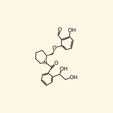 O=Cc1c(O)cccc1OC[C@@H]1CCCCN1C(=O)c1ccccc1[C@@H](O)CO